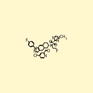 Cn1cnc(S(=O)(=O)N(CCF)[C@H]2CCC3=Cc4c(cnn4-c4ccc(F)cc4)C[C@]3(C(=O)c3cc(Cl)ccn3)C2)n1